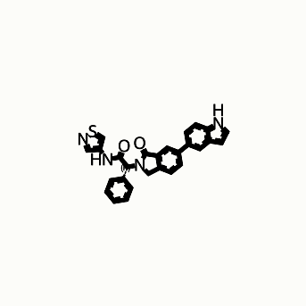 O=C(Nc1cnsc1)[C@@H](c1ccccc1)N1Cc2ccc(-c3ccc4[nH]ccc4c3)cc2C1=O